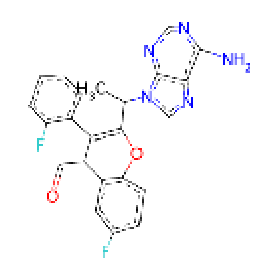 CC(C1=C(c2ccccc2F)C(C=O)c2cc(F)ccc2O1)n1cnc2c(N)ncnc21